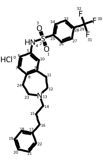 Cl.O=S(=O)(Nc1ccc2c(c1)CCN(CCCc1ccccc1)CC2)c1ccc(C(F)(F)F)cc1